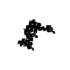 CN(C)CCOC(=O)Nc1cc(Oc2cnc3nc(Nc4cc(C(F)(F)F)cn(C)c4=O)n(C)c3c2Cl)ccn1